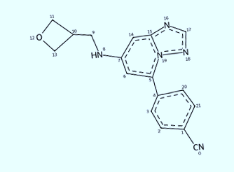 N#Cc1ccc(-c2cc(NCC3COC3)cc3ncnn23)cc1